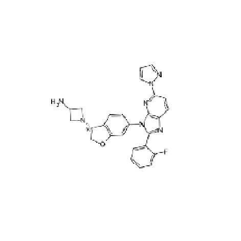 NC1CN([C@H]2COc3cc(-n4c(-c5ccccc5F)nc5ccc(-n6cccn6)nc54)ccc32)C1